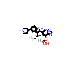 CC(C)c1c(-c2cc(OCO)c3ncnn3c2)[nH]c2ccc(C3CCNCC3)cc12